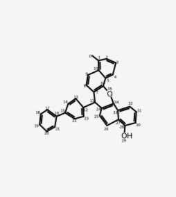 Cc1cccc2c3c(ccc12)C(c1ccc(-c2ccccc2)cc1)c1ccc2c(O)cccc2c1O3